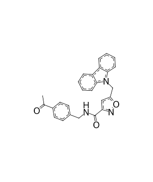 CC(=O)c1ccc(CNC(=O)c2cc(Cn3c4ccccc4c4ccccc43)on2)cc1